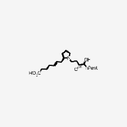 CCCCCC(O)[C@H](Cl)CCN1CCCC1CC=CCCCC(=O)O